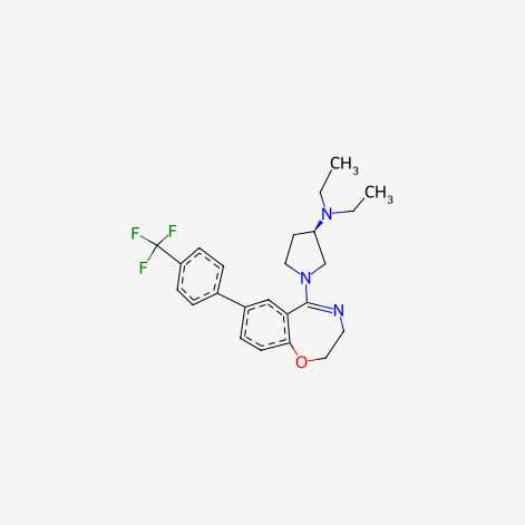 CCN(CC)[C@@H]1CCN(C2=NCCOc3ccc(-c4ccc(C(F)(F)F)cc4)cc32)C1